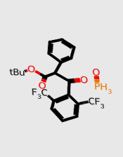 CC(C)(C)OC(=O)C(C(=O)c1c(C(F)(F)F)cccc1C(F)(F)F)c1ccccc1.O=[PH3]